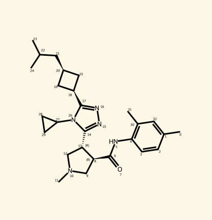 Cc1ccc(NC(=O)[C@H]2CN(C)C[C@@H]2c2nnc([C@H]3C[C@@H](CC(C)C)C3)n2C2CC2)c(C)c1